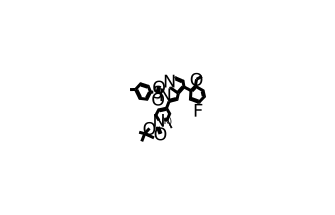 COc1ccc(F)cc1-c1ccnc2c1cc(C1=CCN(C(=O)OC(C)(C)C)[C@H](C)C1)n2S(=O)(=O)c1ccc(C)cc1